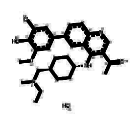 CCN(C)C[C@H]1CC[C@H](Nc2c(C(C)=O)cnc3ccc(-c4cc(Cl)c(O)c(OC)c4)cc23)CC1.Cl